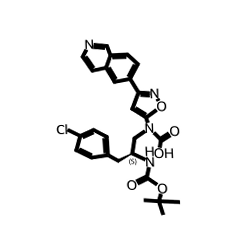 CC(C)(C)OC(=O)N[C@@H](Cc1ccc(Cl)cc1)CN(C(=O)O)c1cc(-c2ccc3cnccc3c2)no1